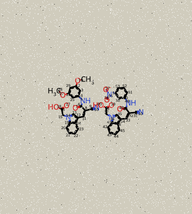 COc1cc(NC(=O)C(C#N)=Cc2cn(CC(=O)O)c3ccccc23)cc(OC)c1.N#CC(=Cc1cn(CC(=O)O)c2ccccc12)C(=O)Nc1cccc([N+](=O)[O-])c1